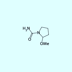 COC1CCCN1C(N)=O